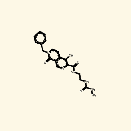 CC(C)NC(=O)NCCNC(=O)c1ncc2c(=O)n(Cc3ccccc3)ccc2c1O